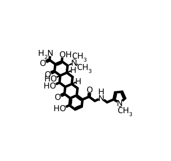 CN(C)[C@@H]1C(O)=C(C(N)=O)C(=O)[C@@]2(O)C(O)C3C(=O)c4c(O)ccc(C(=O)CNCc5cccn5C)c4C[C@H]3C[C@@H]12